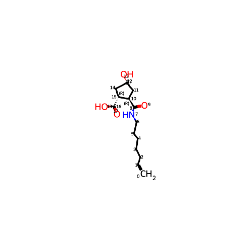 C=CCCCCCNC(=O)[C@@H]1C[C@@H](O)C[C@H]1C(=O)O